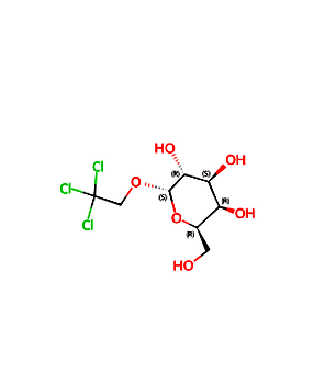 OC[C@H]1O[C@H](OCC(Cl)(Cl)Cl)[C@H](O)[C@@H](O)[C@H]1O